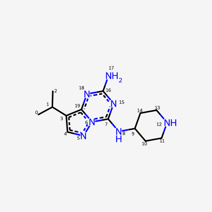 CC(C)c1cnn2c(NC3CCNCC3)nc(N)nc12